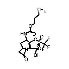 CCCCOC(=O)NC1CC2CC(=O)N2C(C(=O)O)=C1OS(=O)(=O)C(F)(F)F